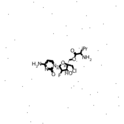 CC(C)C(N)C(=O)OC[C@@]1(CCl)O[C@@H](n2ccc(N)nc2=O)C(F)[C@@H]1O